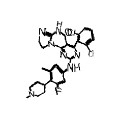 Cc1cc(Nc2nc(-c3c(Cl)cccc3Cl)c3c(n2)N2CCN=C2NC3=O)cc(F)c1C1CCN(C)CC1